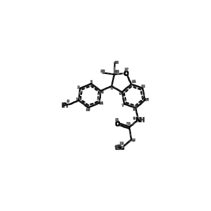 CC(C)c1ccc(C2c3cc(NC(=O)CC(C)(C)C)ccc3OC2(C)C)cc1